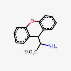 CCOC(=O)C(N)C1c2ccccc2Oc2ccccc21